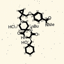 CCCCN1C(=O)[C@@H](CC2(O)CCCCC2)NC(=O)C12CCN(CC1(COc3ccc(C(=O)NC)cc3)CC1)CC2.Cl